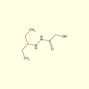 CCC(CC)NNC(=O)CO